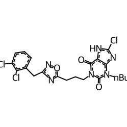 CCCCn1c(=O)n(CCCc2nc(Cc3cccc(Cl)c3Cl)no2)c(=O)c2[nH]c(Cl)nc21